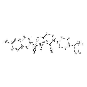 CC(C)N1CCC(N2CCC[C@H](NS(=O)(=O)c3ccc4cc(Br)ccc4c3)C2=O)CC1